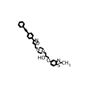 Cc1nc2cc(OC[C@H](O)CN3CCN(Cc4cc(-c5ccc(C#Cc6ccccc6)cc5)no4)CC3)ccc2s1